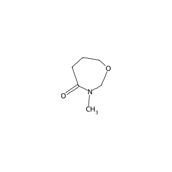 CN1COCCCC1=O